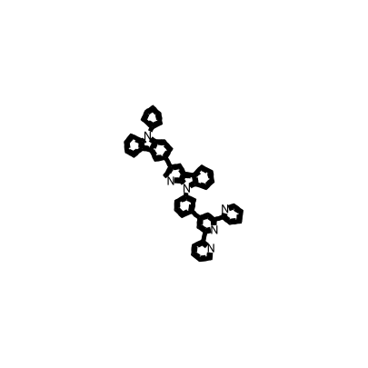 c1ccc(-n2c3ccccc3c3cc(-c4cnc5c(c4)c4ccccc4n5-c4cccc(-c5cc(-c6ccccn6)nc(-c6ccccn6)c5)c4)ccc32)cc1